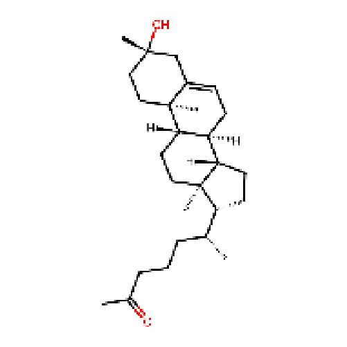 CC(=O)CCC[C@@H](C)[C@H]1CC[C@H]2[C@@H]3CC=C4C[C@@](C)(O)CC[C@]4(C)[C@H]3CC[C@]12C